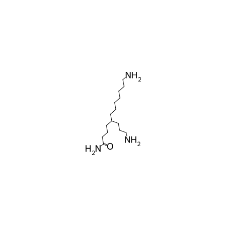 NCCCCCCCC(CCCN)CCCC(N)=O